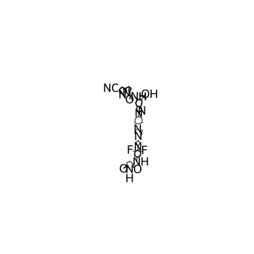 CC(C)(O)c1cc2nn(C3CCC(N4CCN(C5CN(c6c(F)cc(N[C@H]7CCC(=O)NC7=O)cc6F)C5)CC4)CC3)cc2cc1NC(=O)c1ccc2cc(C#N)cnn12